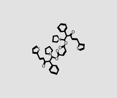 O=C(/C=C\C(=O)OC(C(C(=O)C=Cc1cccs1)c1ccccc1)N1CCCC1)OC(C(C(=O)C=Cc1cccs1)c1ccccc1)N1CCCC1